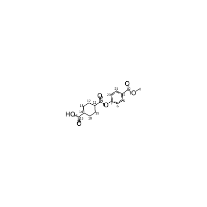 COC(=O)c1ccc(OC(=O)C2CCC(C(=O)O)CC2)cc1